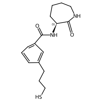 O=C(N[C@H]1CCCCNC1=O)c1cccc(CCCS)c1